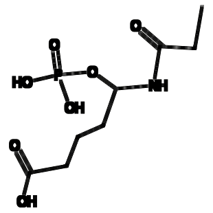 CCC(=O)NC(CCCC(=O)O)OP(=O)(O)O